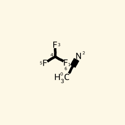 CC#N.FC(F)F